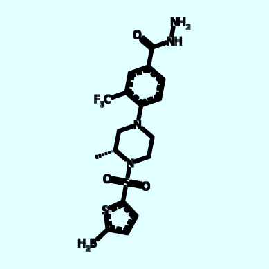 Bc1ccc(S(=O)(=O)N2CCN(c3ccc(C(=O)NN)cc3C(F)(F)F)C[C@H]2C)s1